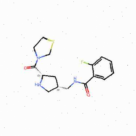 O=C(NC[C@@H]1CN[C@H](C(=O)N2CCSC2)C1)c1ccccc1F